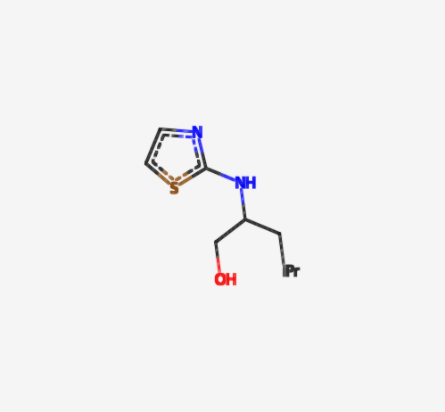 CC(C)CC(CO)Nc1nccs1